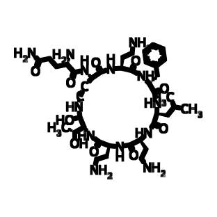 CC(C)C[C@@H]1NC(=O)[C@@H](Cc2ccccc2)NC(=O)[C@H](CCN)NC(=O)[C@@H](NC(=O)[C@@H](N)CCC(N)=O)CCNC(O)[C@H]([C@@H](C)O)NC(=O)[C@H](CCN)NC(=O)[C@H](CCN)NC1=O